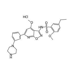 CCc1ccc(OC)c(S(=O)(=O)Nc2noc3nc(-c4cccc(N5CCNCC5)c4)cc(OC)c23)c1.Cl